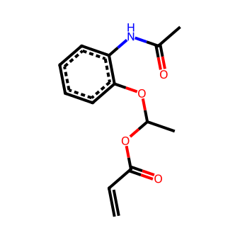 C=CC(=O)OC(C)Oc1ccccc1NC(C)=O